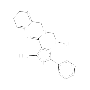 COCN(CC1=NCCC=N1)C(=O)c1sc(-c2cccnc2)nc1C